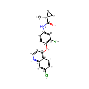 CC1(C(=O)Nc2ccc(Oc3ccnc4cc(Cl)ccc34)c(F)c2)CC1